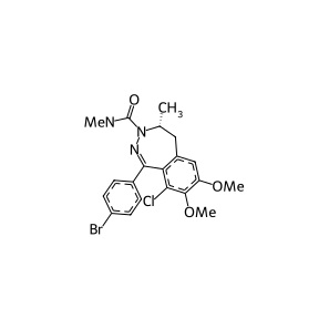 CNC(=O)N1N=C(c2ccc(Br)cc2)c2c(cc(OC)c(OC)c2Cl)C[C@H]1C